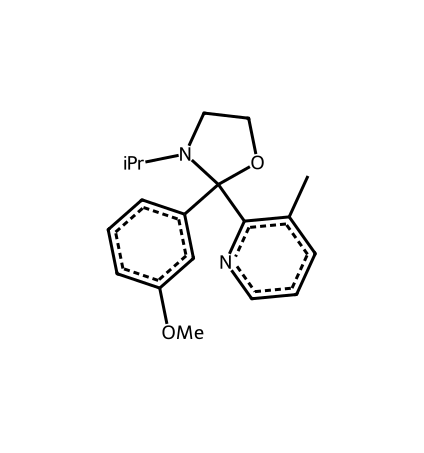 COc1cccc(C2(c3ncccc3C)OCCN2C(C)C)c1